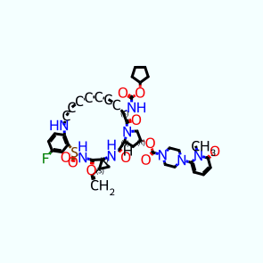 C=C[C@@H]1C[C@@]12NC(=O)[C@@H]1C[C@@H](OC(=O)N3CCN(c4cccc(=O)n4C)CC3)CN1C(=O)[C@@H](NC(=O)OC1CCCC1)CCCCCCCNc1ccc(F)cc1S(=O)(=O)NC2=O